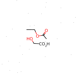 CCOC(C)=O.O=C(O)CO